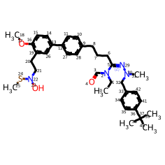 CCN(C=O)/C(CCCc1ccc(-c2ccc(OC)c(CCN(O)SC)c2)cc1)=N\N(C)Cc1ccc(C(C)(C)C)cc1